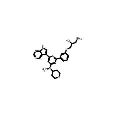 CNCC(O)COc1cccc(-c2nc(-c3c[nH]c4ncncc34)cc(N(C)C3CCOCC3)n2)c1